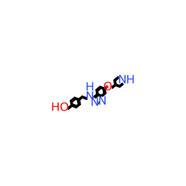 OCc1ccc(CCNc2ncnc3cc(OCC4CCNCC4)ccc23)cc1